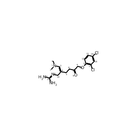 CN(C)C=C(CCC(=O)COc1ccc(Cl)cc1Cl)CN=C(N)N